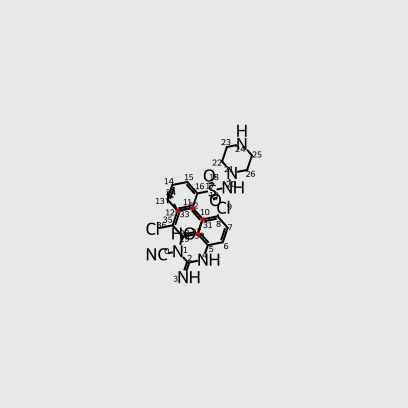 N#CN(C(=N)Nc1ccc(Cl)c(-c2ccccc2S(=O)(=O)NN2CCNCC2)c1O)c1cccc(F)c1Cl